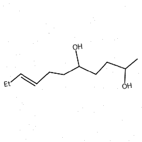 CCC=CCCC(O)CCC(C)O